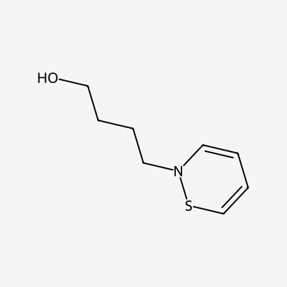 OCCCCN1C=CC=CS1